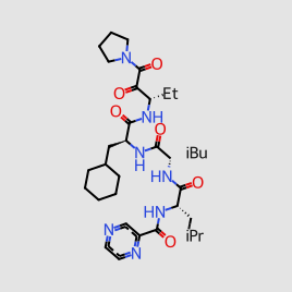 CC[C@H](NC(=O)[C@H](CC1CCCCC1)NC(=O)[C@@H](NC(=O)[C@H](CC(C)C)NC(=O)c1cnccn1)[C@H](C)CC)C(=O)C(=O)N1CCCC1